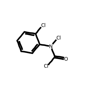 O=C(Cl)N(Cl)c1ccccc1Cl